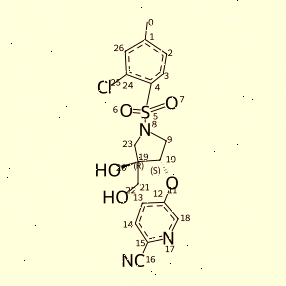 Cc1ccc(S(=O)(=O)N2C[C@H](Oc3ccc(C#N)nc3)[C@](O)(CO)C2)c(Cl)c1